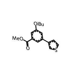 COC(=O)c1cc(OCC(C)C)cc(-c2ccsc2)c1